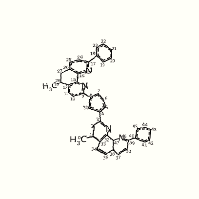 CC1CC(c2cccc(-c3ccc4c(n3)-c3nc(-c5ccccc5)ccc3CC4C)c2)=NC2=C1C=CC1C=CC(c3ccccc3)=NC21